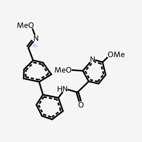 CO/N=C/c1ccc(-c2ccccc2NC(=O)c2ccc(OC)nc2OC)cc1